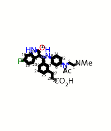 CNCCN(C(C)=O)c1ccc(N/C(=C2\C(=O)Nc3cc(F)ccc32)c2cccc(CCC(=O)O)c2)cc1